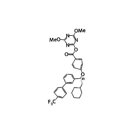 COc1nc(OC)nc(OC(=O)c2ccc(O[C@H](CC3CCCCC3)c3cccc(-c4ccc(C(F)(F)F)cc4)c3)cc2)n1